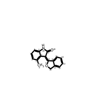 Cc1cccc2c1C(=C1OCc3ccccc31)C(=O)N2